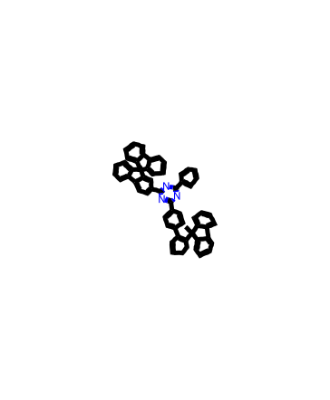 CC1(C2=C(c3ccc(-c4nc(-c5ccccc5)nc(-c5ccc6c(c5)C5(c7ccccc7-c7ccccc75)c5ccccc5-6)n4)cc3)C=CCC2)c2ccccc2-c2ccccc21